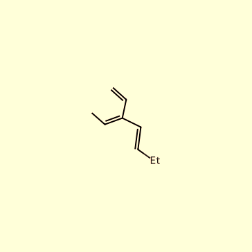 C=CC(C=CCC)=CC